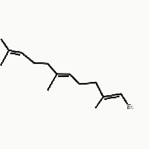 [CH2]/C(C)=C/CC/C(C)=C/CC/C(C)=C/CC